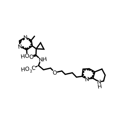 Cc1ncnc(O)c1C1(C(=O)N[C@@H](CCOCCCCc2ccc3c(n2)NCCC3)C(=O)O)CC1